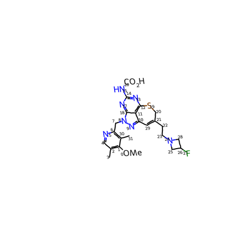 COc1c(C)cnc(Cn2nc3c4c(nc(NC(=O)O)nc42)SCC(CCN2CC(F)C2)=C3)c1C